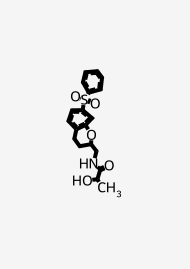 CC(O)C(=O)NCC1CCc2ccc(S(=O)(=O)c3ccccc3)cc2O1